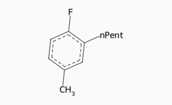 CCC[CH]Cc1cc(C)ccc1F